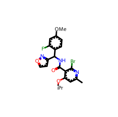 COc1ccc(C(NC(=O)c2c(OC(C)C)cc(C)nc2Br)c2ccon2)c(F)c1